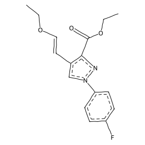 CCOC=Cc1cn(-c2ccc(F)cc2)nc1C(=O)OCC